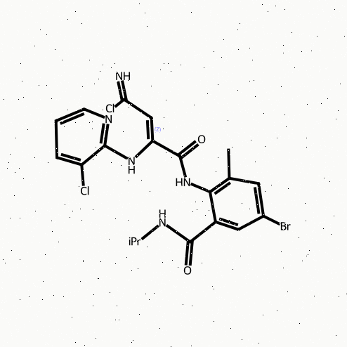 Cc1cc(Br)cc(C(=O)NC(C)C)c1NC(=O)/C(=C/C(=N)Cl)Nc1ncccc1Cl